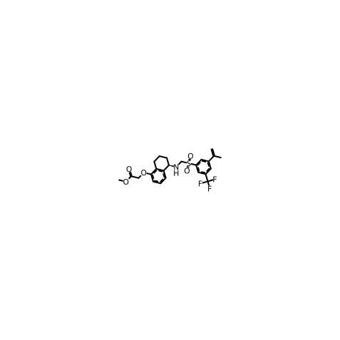 C=C(C)c1cc(C(F)(F)F)cc(S(=O)(=O)CN[C@@H]2CCCc3c(OCC(=O)OC)cccc32)c1